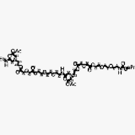 CCCOC(=O)NCCOCCOCCOC(=O)COCC(=O)OCCN(CCOC(C)=O)CC(=O)NCCOCCOCCOC(=O)COCC(=O)OCCN(CCOC(C)=O)CC(=O)NCC